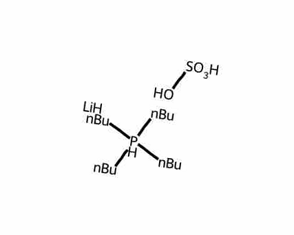 CCCC[PH](CCCC)(CCCC)CCCC.O=S(=O)(O)O.[LiH]